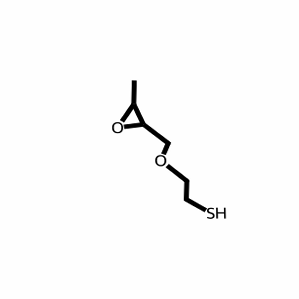 CC1OC1COCCS